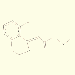 CCOC(=O)C=C1CCOc2cccc(F)c21